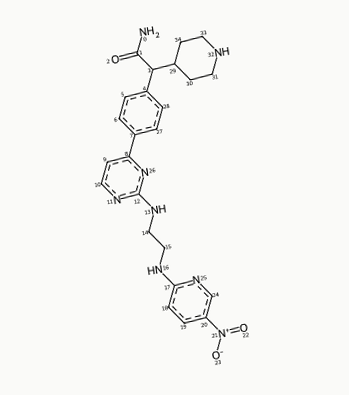 NC(=O)C(c1ccc(-c2ccnc(NCCNc3ccc([N+](=O)[O-])cn3)n2)cc1)C1CCNCC1